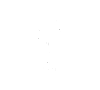 COc1cc2ncnc(N3CCC4(CCN(S(C)(=N)=O)CC4)C3)c2cc1OC